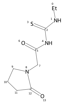 CCNC(=S)NC(=O)CN1CCCC1=O